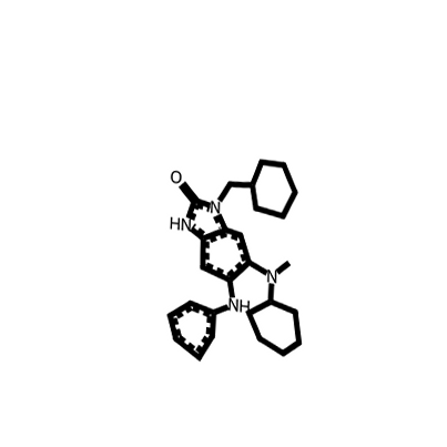 CN(c1cc2c(cc1Nc1ccccc1)[nH]c(=O)n2CC1CCCCC1)C1CCCCC1